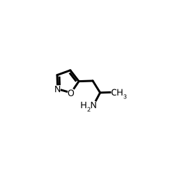 CC(N)Cc1ccno1